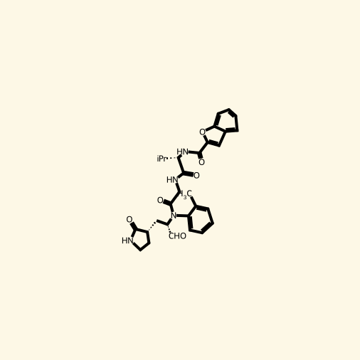 Cc1ccccc1N(C(=O)CNC(=O)[C@@H](NC(=O)c1cc2ccccc2o1)C(C)C)[C@H](C=O)C[C@@H]1CCNC1=O